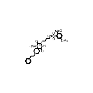 CCCN1C(=O)[C@H](CCCCNS(=O)(=O)c2cc(OC)ccc2OC)NC(=O)C12CCN(CCc1ccccc1)CC2